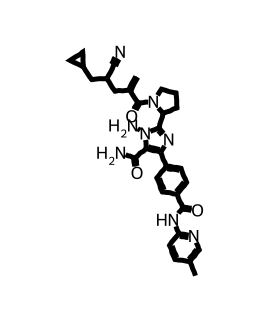 C=C(CC(C#N)CC1CC1)C(=O)N1CCCC1c1nc(-c2ccc(C(=O)Nc3ccc(C)cn3)cc2)c(C(N)=O)n1N